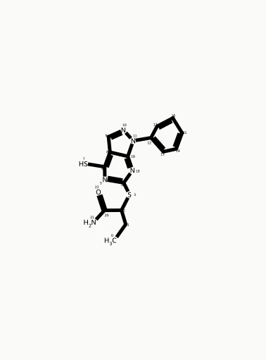 CCC(Sc1nc(S)c2cnn(-c3ccccc3)c2n1)C(N)=O